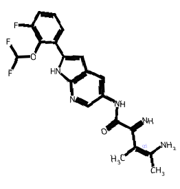 C/C(N)=C(\C)C(=N)C(=O)Nc1cnc2[nH]c(-c3cccc(F)c3OC(F)F)cc2c1